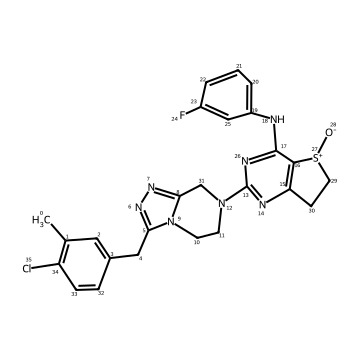 Cc1cc(Cc2nnc3n2CCN(c2nc4c(c(Nc5cccc(F)c5)n2)[S+]([O-])CC4)C3)ccc1Cl